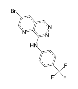 FC(F)(F)c1ccc(Nc2nncc3cc(Br)cnc23)cc1